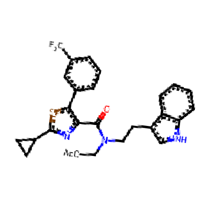 CC(=O)OCN(CCc1c[nH]c2ccccc12)C(=O)c1nc(C2CC2)sc1-c1cccc(C(F)(F)F)c1